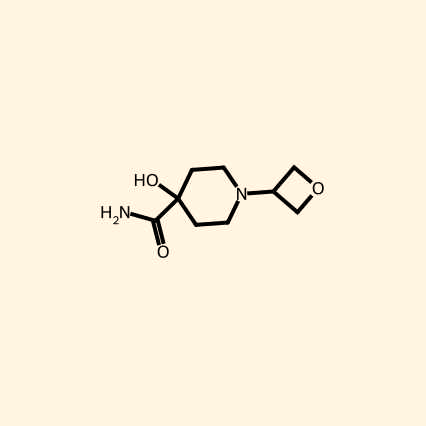 NC(=O)C1(O)CCN(C2COC2)CC1